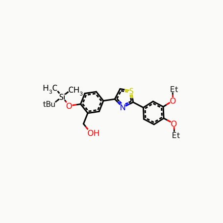 CCOc1ccc(-c2nc(-c3ccc(O[Si](C)(C)C(C)(C)C)c(CO)c3)cs2)cc1OCC